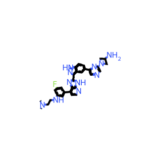 CN(C)CCNc1cc(F)cc(-c2ccnc3[nH]c(-c4n[nH]c5ccc(-c6cncc(N7CC(N)C7)n6)cc45)nc23)c1